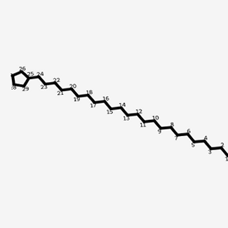 CCCCCCCCCCCCCCCCCCCCCCCCCCCCCCCCCCC1CCCC1